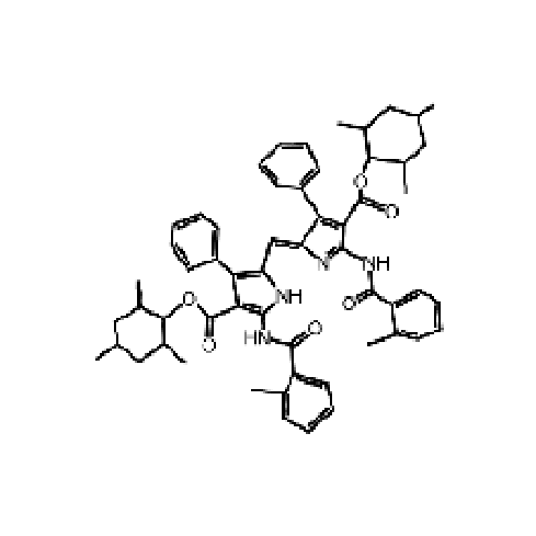 Cc1ccccc1C(=O)NC1=N/C(=C\c2[nH]c(NC(=O)c3ccccc3C)c(C(=O)OC3C(C)CC(C)CC3C)c2-c2ccccc2)C(c2ccccc2)=C1C(=O)OC1C(C)CC(C)CC1C